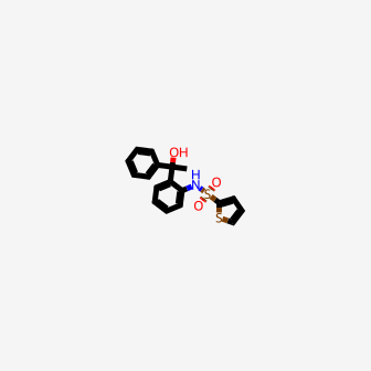 CC(O)(c1ccccc1)c1ccccc1NS(=O)(=O)c1cccs1